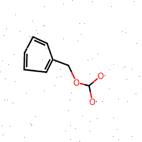 [O]C([O])OCc1ccccc1